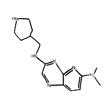 C[SH](C)c1ccc2ncc(NCC3CCNCC3)nc2n1